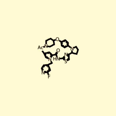 CC(=O)N1CCC(Oc2ccc(N3CCCC3c3csc(NC(=O)c4cc(C)cn4Cc4ccnc(F)c4)n3)cc2)CC1